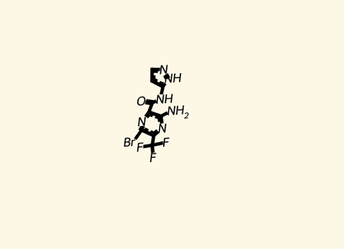 Nc1nc(C(F)(F)F)c(Br)nc1C(=O)Nc1ccn[nH]1